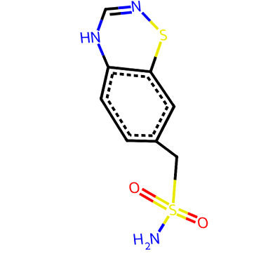 NS(=O)(=O)Cc1ccc2c(c1)SN=CN2